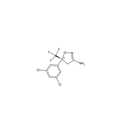 NC1=NO[C@](c2cc(Cl)cc(Cl)c2)(C(F)(F)F)C1